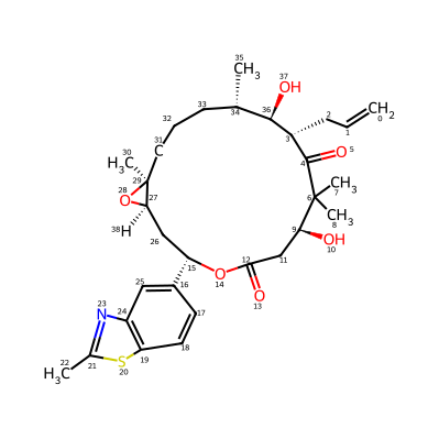 C=CC[C@@H]1C(=O)C(C)(C)[C@@H](O)CC(=O)O[C@H](c2ccc3sc(C)nc3c2)C[C@H]2O[C@@]2(C)CCC[C@H](C)[C@H]1O